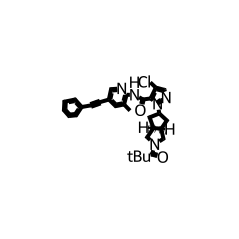 Cc1cc(C#Cc2ccccc2)cnc1NC(=O)c1c(Cl)cnn1C1C[C@@H]2CN(C(=O)C(C)(C)C)C[C@@H]2C1